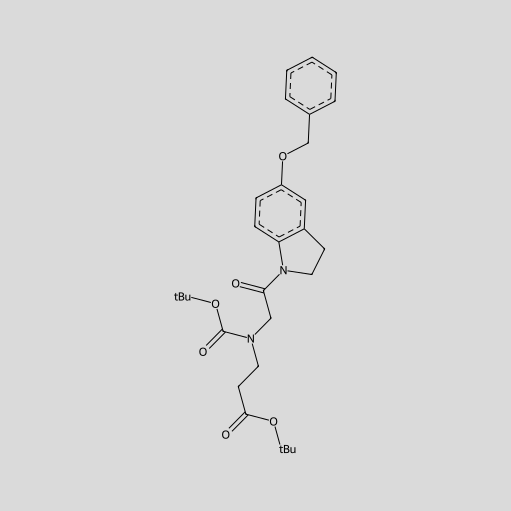 CC(C)(C)OC(=O)CCN(CC(=O)N1CCc2cc(OCc3ccccc3)ccc21)C(=O)OC(C)(C)C